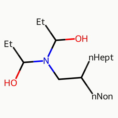 CCCCCCCCCC(CCCCCCC)CN(C(O)CC)C(O)CC